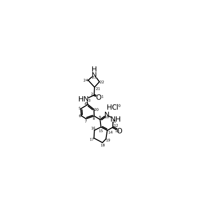 Cl.O=C(Nc1cccc(-c2n[nH]c(=O)c3c2CCCC3)c1)C1CNC1